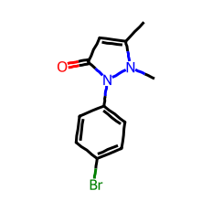 Cc1cc(=O)n(-c2ccc(Br)cc2)n1C